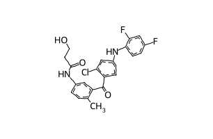 Cc1ccc(NC(=O)CCO)cc1C(=O)c1ccc(Nc2ccc(F)cc2F)cc1Cl